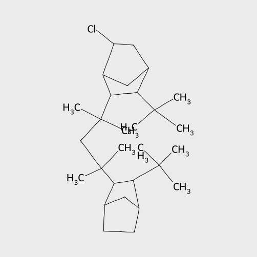 CC(C)(C)C1C2CCC(C2)C1C(C)(C)CC(C)(C)C1C2CC(CC2Cl)C1C(C)(C)C